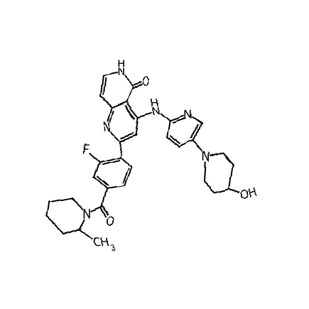 CC1CCCCN1C(=O)c1ccc(-c2cc(Nc3ccc(N4CCC(O)CC4)cn3)c3c(=O)[nH]ccc3n2)c(F)c1